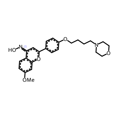 COc1ccc2/c(=N\O)cc(-c3ccc(OCCCCN4CCOCC4)cc3)oc2c1